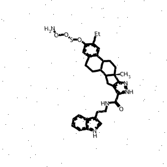 CCc1cc2c(cc1OSOON)CCC1C2CC[C@]2(C)c3n[nH]c(C(=O)NCCc4c[nH]c5ccccc45)c3CC12